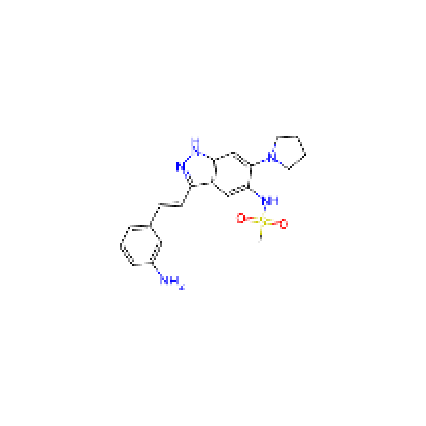 CS(=O)(=O)Nc1cc2c(C=Cc3cccc(N)c3)n[nH]c2cc1N1CCCC1